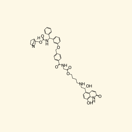 O=C(CNC(=O)c1ccc(COc2cccc(C(NC(=O)O[C@H]3CN4CCC3CC4)c3ccccc3)c2)cc1)OCCCCNC[C@H](O)c1ccc(O)c2[nH]c(=O)ccc12